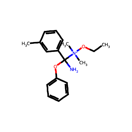 CCO[N+](C)(C)C(N)(Oc1ccccc1)c1cccc(C)c1